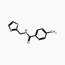 Cc1ccc(C(=O)NCc2nccs2)cc1